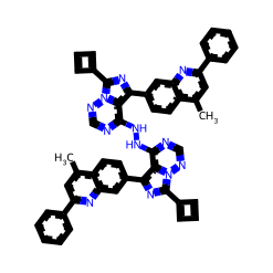 Cc1cc(-c2ccccc2)nc2cc(-c3nc(C4=CC=C4)n4ncnc(NNc5ncnn6c(C7=CC=C7)nc(-c7ccc8c(C)cc(-c9ccccc9)nc8c7)c56)c34)ccc12